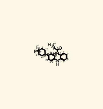 C=CC(=O)Nc1ccccc1Nc1ccc(C2CCC(F)(F)CC2)cc1